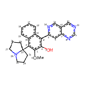 COc1c(O)c(-c2cc3ncncc3cn2)c2ccccc2c1C12CCCN1CCC2